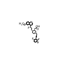 COc1ccc2nccc([C@@H](F)CC[C@@H]3CCN(CC#Cc4c(F)ccc(F)c4F)C[C@@H]3CC(=O)O)c2c1